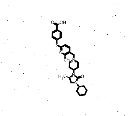 Cc1nc(Sc2ccc(C(=O)O)cc2)ccc1CN1CCC(N2C(=O)N(C3CCCCC3)C[C@H]2C)CC1